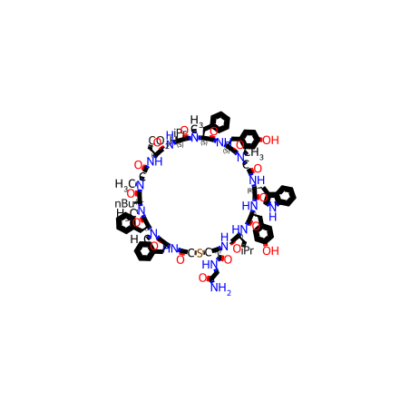 CCCC[C@H]1C(=O)N(C)CC(=O)N[C@@H](CC(=O)O)C(=O)N[C@@H](C(C)C)C(=O)N(C)[C@@H](Cc2ccccc2)C(=O)N[C@@H](Cc2ccc(O)cc2)C(=O)N(C)CC(=O)N[C@H](Cc2c[nH]c3ccccc23)C(=O)N[C@@H](Cc2ccc(O)cc2)C(=O)N[C@@H](CC(C)C)C(=O)N[C@H](C(=O)NCC(N)=O)CSCC(=O)N[C@@H](Cc2ccccc2)C(=O)N(C)[C@@H](Cc2ccccc2)C(=O)N1C